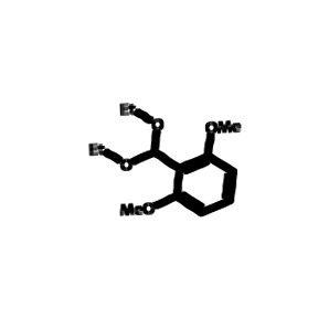 CCOC(OCC)c1c(OC)cccc1OC